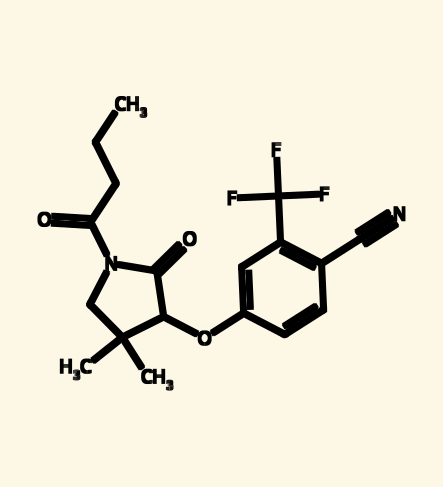 CCCC(=O)N1CC(C)(C)C(Oc2ccc(C#N)c(C(F)(F)F)c2)C1=O